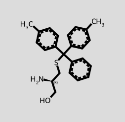 Cc1ccc(C(SC[C@H](N)CO)(c2ccccc2)c2ccc(C)cc2)cc1